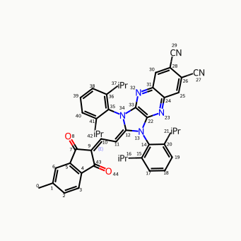 Cc1ccc2c(c1)C(=O)/C(=C/C=C1N(c3c(C(C)C)cccc3C(C)C)c3nc4cc(C#N)c(C#N)cc4nc3N1c1c(C(C)C)cccc1C(C)C)C2=O